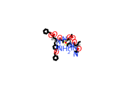 CC[C@H](C)[C@H](NC(=O)C(C)(C)N(C)C)C(=O)N(C)[C@H](C[C@@H](OC(C)=O)c1nc(C(=O)N[C@@H](Cc2ccc(OCc3ccccc3)c(N)c2)C[C@H](C)C(=O)OCc2ccccc2)cs1)C(C)C